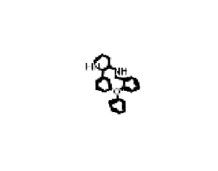 c1ccc(Oc2ccccc2CNC2CCCNC2c2ccccc2)cc1